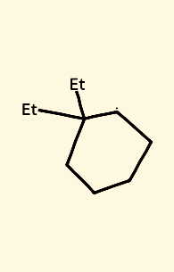 CCC1(CC)[CH]CCCC1